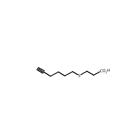 C#CCCCCSCCC(=O)O